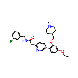 CCOc1ccc(-c2ccc(CC(=O)NCc3cccc(F)c3)nc2)c(OCC2CCN(C)CC2)c1